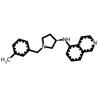 Cc1cccc(CN2CC[C@@H](Nc3cccc4cnccc34)C2)c1